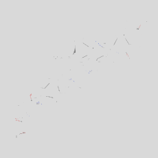 CC[C@@]1(O)C(=O)OCc2c1cc1n(c2=O)Cc2c-1nc1cc(F)c(OC)cc1c2CN1CC[N+](C)(Cc2ccc(NC(=O)[C@H](C)NC(=O)OC(C)(C)C)cc2)CC1